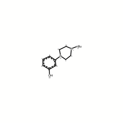 CCCCN1CCN(c2cccc(O)c2)CC1